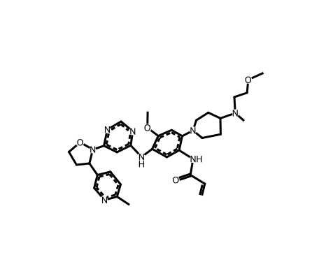 C=CC(=O)Nc1cc(Nc2cc(N3OCCC3c3ccc(C)nc3)ncn2)c(OC)cc1N1CCC(N(C)CCOC)CC1